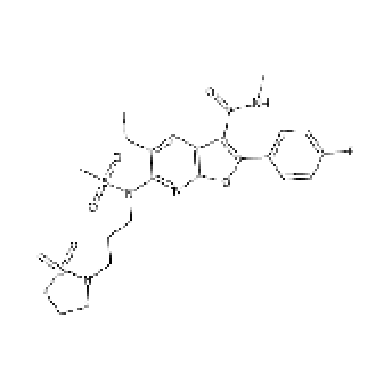 C=S1(=O)CCCN1CCCN(c1nc2oc(-c3ccc(F)cc3)c(C(=O)NC)c2cc1CC)S(C)(=O)=O